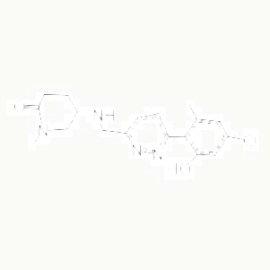 Cc1cc(Cl)cc(O)c1-c1ccc(CN[C@H]2CCC(=O)N(C)C2)nn1